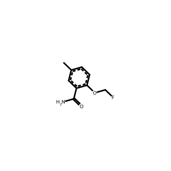 Cc1ccc(OCF)c(C(N)=O)c1